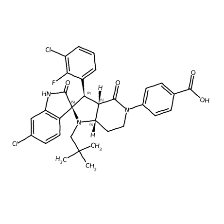 CC(C)(C)CN1[C@H]2CCN(c3ccc(C(=O)O)cc3)C(=O)[C@H]2[C@H](c2cccc(Cl)c2F)[C@]12C(=O)Nc1cc(Cl)ccc12